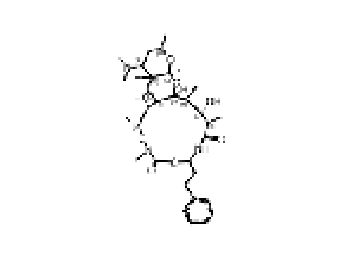 C[C@H]1CN(C)C(=O)CC(CCc2ccccc2)NC(=O)[C@H](C)[C@@H](O)[C@H](C)[C@H]2O[C@@H]3O[C@H](C)C[C@H](N(C)C)[C@H]3C[C@@]2(O)C1